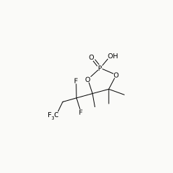 CC1(C)OP(=O)(O)OC1(C)C(F)(F)CC(F)(F)F